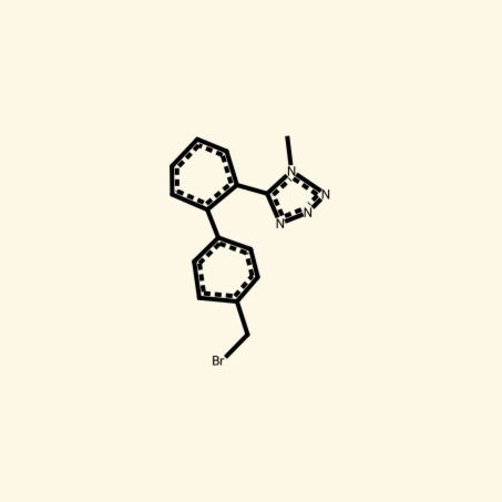 Cn1nnnc1-c1ccccc1-c1ccc(CBr)cc1